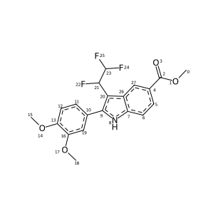 COC(=O)c1ccc2[nH]c(-c3ccc(OC)c(OC)c3)c(C(F)C(F)F)c2c1